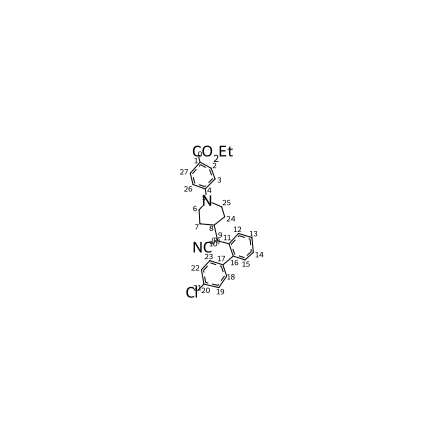 CCOC(=O)c1ccc(N2CCC([C@@H](C#N)c3ccccc3-c3ccc(Cl)cc3)CC2)cc1